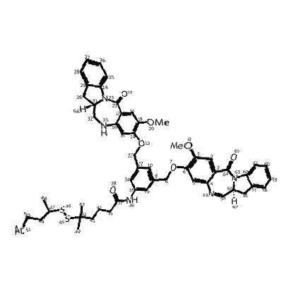 COc1cc2c(cc1OCc1cc(COc3cc4c(cc3OC)C(=O)N3c5ccccc5C[C@H]3CN4)cc(NC(=O)CCCC(C)(C)SSC(C)CCC(C)=O)c1)N=C[C@@H]1Cc3ccccc3N1C2=O